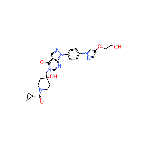 O=C(C1CC1)N1CCC(O)(Cn2cnc3c(cnn3-c3ccc(-n4cc(OCCO)cn4)cc3)c2=O)CC1